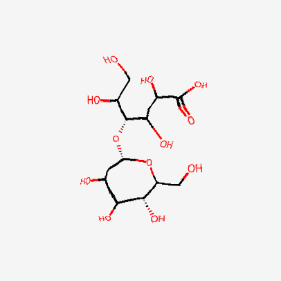 O=C(O)C(O)C(O)[C@H](O[C@@H]1OC(CO)[C@H](O)C(O)C1O)C(O)CO